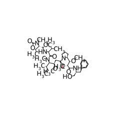 CC[C@H](C)[C@@H]([C@@H](CC(=O)N1CCC[C@H]1[C@H](OC)[C@@H](C)C(=O)N[C@H](CO)Cc1ccccc1)OC)N(C)C(=O)[C@@H](NC(=O)[C@@H]1[C@@H](C)OC(=O)N1C)C(C)C